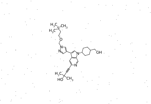 CC(C)(O)C#Cc1cc2c(-c3cnn(COCCS(C)(C)C)c3)cn(C3CCC(CO)CC3)c2cn1